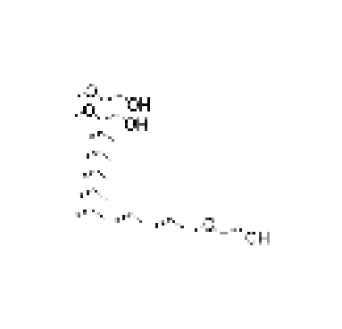 C=CC.C=CC.C=CC.C=CC.C=CC.C=CC.C=CC.COCCO.COCCO.COCCO